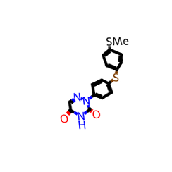 CSc1ccc(Sc2ccc(-n3ncc(=O)[nH]c3=O)cc2)cc1